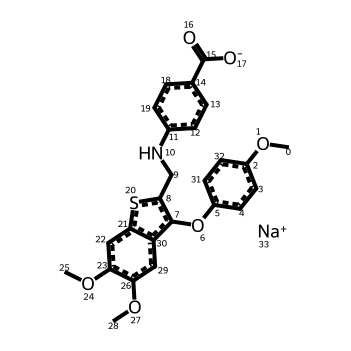 COc1ccc(Oc2c(CNc3ccc(C(=O)[O-])cc3)sc3cc(OC)c(OC)cc23)cc1.[Na+]